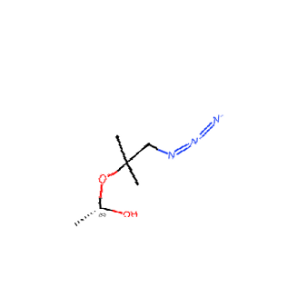 C[C@@H](O)OC(C)(C)CN=[N+]=[N-]